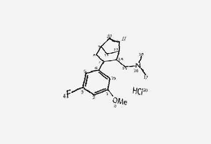 COc1cc(F)cc(C2CC3CCC(C3)C2CN(C)C)c1.Cl